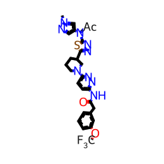 CC(=O)N(c1cnn(C)c1)c1nnc(C2CCCN(c3ccc(NC(=O)Cc4cccc(OC(F)(F)F)c4)nn3)C2)s1